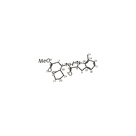 COC(=O)CC(NC(=O)C1Cc2cccc(C)c2N1)C1CCCS1